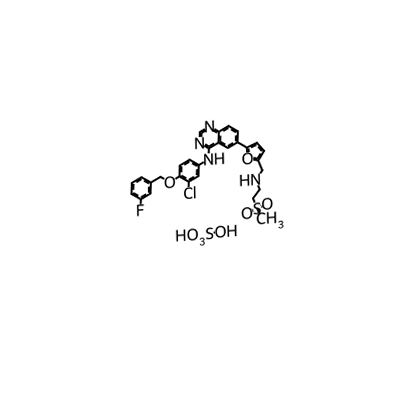 CS(=O)(=O)CCNCc1ccc(-c2ccc3ncnc(Nc4ccc(OCc5cccc(F)c5)c(Cl)c4)c3c2)o1.O=S(=O)(O)O